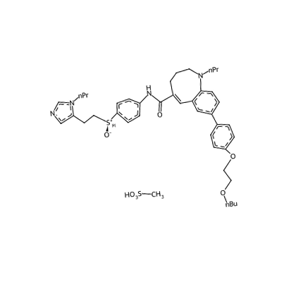 CCCCOCCOc1ccc(-c2ccc3c(c2)C=C(C(=O)Nc2ccc([S@@+]([O-])CCc4cncn4CCC)cc2)CCCN3CCC)cc1.CS(=O)(=O)O